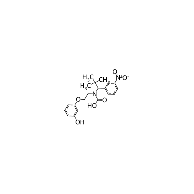 CC(C)(C)C(c1cccc([N+](=O)[O-])c1)N(CCOc1cccc(O)c1)C(=O)O